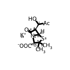 CC(=O)C(O)[C@@H]1C(=O)N2[C@@H]1SC(C)(C)[C@@H]2C(=O)[O-].[K+]